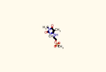 Cc1c(NCCOS(C)(=O)=O)n(C)c(=O)n(C)c1=O